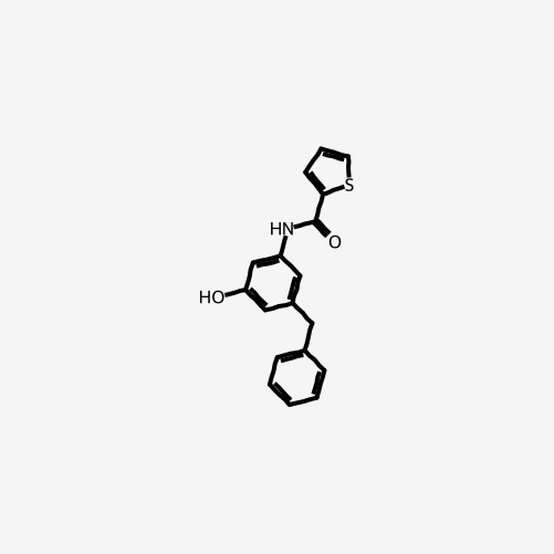 O=C(Nc1cc(O)cc(Cc2ccccc2)c1)c1cccs1